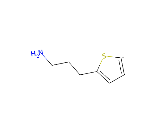 NCCCc1cc[c]s1